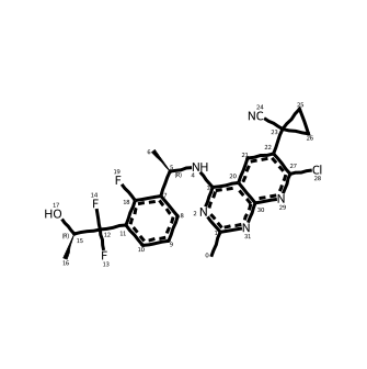 Cc1nc(N[C@H](C)c2cccc(C(F)(F)[C@@H](C)O)c2F)c2cc(C3(C#N)CC3)c(Cl)nc2n1